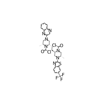 C[C@@H]1CN(c2cnc3ccccc3n2)C[C@H](CC[C@@H]2CN(c3nc4ccc(C(F)(F)F)cc4s3)[C@@H](C)CN2C(=O)Cl)N1C(=O)Cl